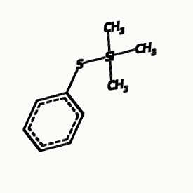 C[Si](C)(C)Sc1ccccc1